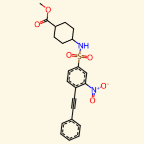 COC(=O)C1CCC(NS(=O)(=O)c2ccc(C#Cc3ccccc3)c([N+](=O)[O-])c2)CC1